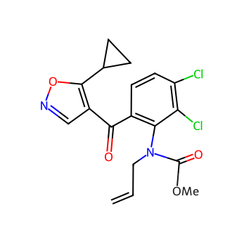 C=CCN(C(=O)OC)c1c(C(=O)c2cnoc2C2CC2)ccc(Cl)c1Cl